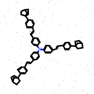 C(=C\c1ccc(C23CCC(CC2)C3)cc1)/c1ccc(N(c2ccc(/C=C/c3ccc(C45CCC(CC4)C5)cc3)cc2)c2ccc(/C=C/c3ccc(C45CCC(CC4)C5)cc3)cc2)cc1